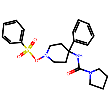 O=C(NC1(c2ccccc2)CCN(OS(=O)(=O)c2ccccc2)CC1)N1CCCC1